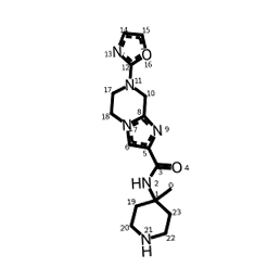 CC1(NC(=O)c2cn3c(n2)CN(c2ncco2)CC3)CCNCC1